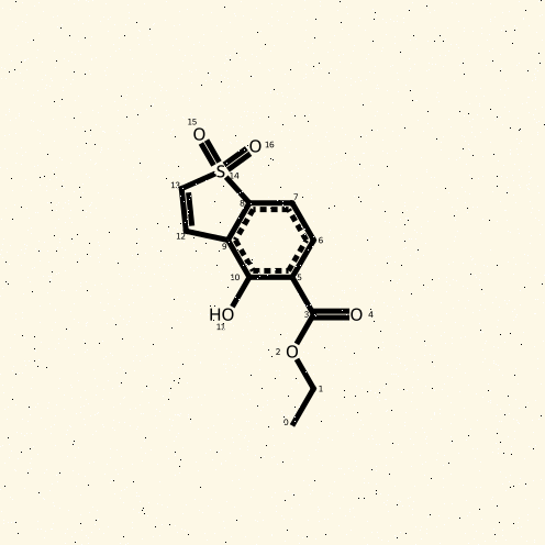 CCOC(=O)c1ccc2c(c1O)C=CS2(=O)=O